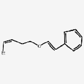 CC/C=C\CCO/C=C/c1ccccc1